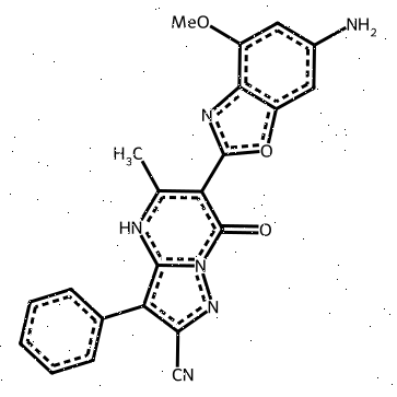 COc1cc(N)cc2oc(-c3c(C)[nH]c4c(-c5ccccc5)c(C#N)nn4c3=O)nc12